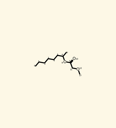 CCCCCCC(C)OC(=O)COC